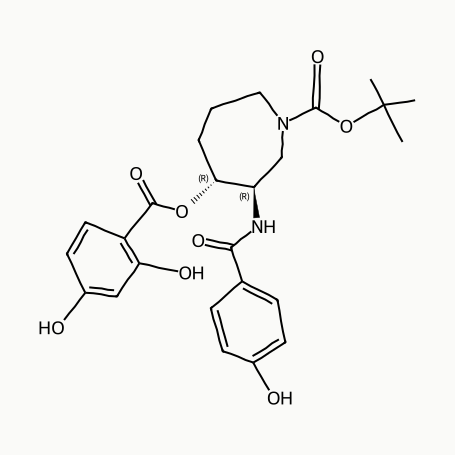 CC(C)(C)OC(=O)N1CCC[C@@H](OC(=O)c2ccc(O)cc2O)[C@H](NC(=O)c2ccc(O)cc2)C1